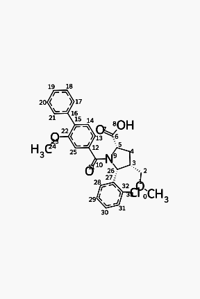 COC[C@H]1C[C@@H](C(=O)O)N(C(=O)c2ccc(-c3ccccc3)c(OC)c2)[C@H]1c1ccccc1Cl